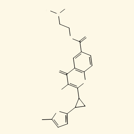 CCc1c(C2CC2c2ccc(C)o2)oc2ccc(C(=O)OCCN(CC)CC)cc2c1=O